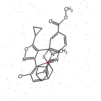 COC(=O)c1ccc2nc(N3C4CC(N(C)Cc5c(-c6c(Cl)cccc6Cl)noc5C5CC5)CC3C4)sc2c1